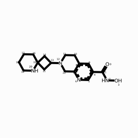 O=C(NO)c1cnc2c(c1)CCN(C1CC3(CCCCN3)C1)C2